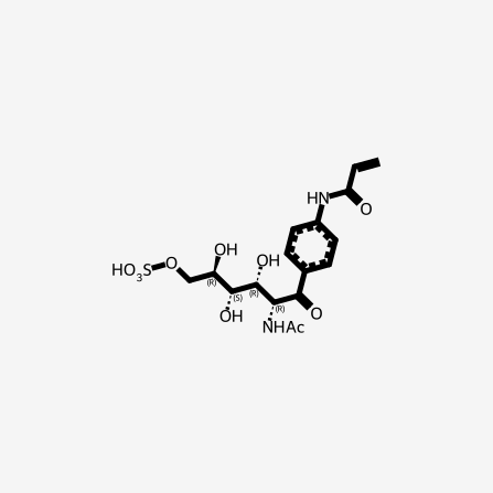 C=CC(=O)Nc1ccc(C(=O)[C@H](NC(C)=O)[C@@H](O)[C@H](O)[C@H](O)COS(=O)(=O)O)cc1